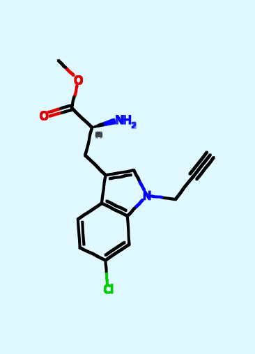 C#CCn1cc(C[C@H](N)C(=O)OC)c2ccc(Cl)cc21